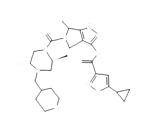 CC1c2[nH]nc(NC(=O)c3cc(C4CC4)on3)c2CN1C(=O)N1C[C@@H](C)N(CC2CCOCC2)C[C@@H]1C